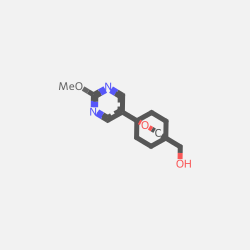 COc1ncc(C23CCC(CO)(CC2)CO3)cn1